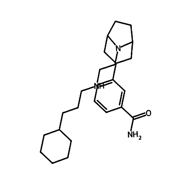 NC(=O)c1cccc(C2CC3CCC(C2)N3CCNCCCC2CCCCC2)c1